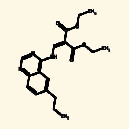 CCCc1ccc2ncnc(NC=C(C(=O)OCC)C(=O)OCC)c2c1